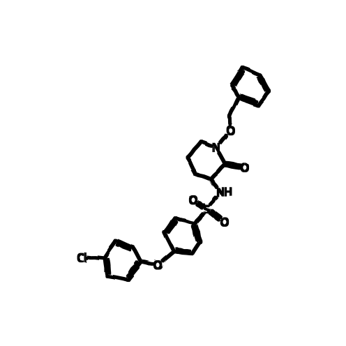 O=C1C(NS(=O)(=O)c2ccc(Oc3ccc(Cl)cc3)cc2)CCCN1OCc1ccccc1